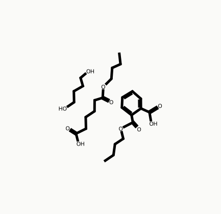 CCCCOC(=O)CCCCC(=O)O.CCCCOC(=O)c1ccccc1C(=O)O.OCCCCO